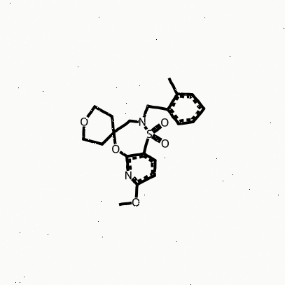 COc1ccc2c(n1)OC1(CCOCC1)CN(Cc1ccccc1C)S2(=O)=O